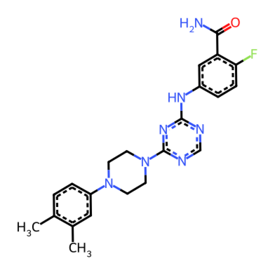 Cc1ccc(N2CCN(c3ncnc(Nc4ccc(F)c(C(N)=O)c4)n3)CC2)cc1C